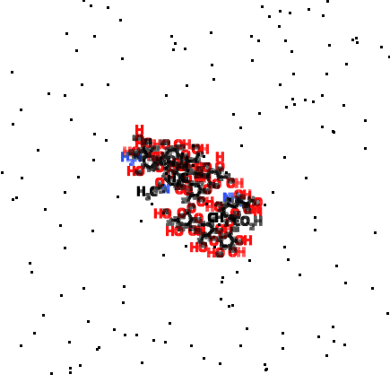 CC1=NC2C(O1)OC(CO)C(OC1OC(COC3OC(CO)C(O)C(O)C3OC3OC(CO)C(OC4OC(COC5(C(=O)O)CC(O)C(N)C([C@H](O)[C@H](O)CO)O5)C(O)C(O)C4O)C(O)C3C)C(O)C(OC3OC(CO)C(O)C(O)C3OC3OC(CO)C(OC4OC(COC5(C(=O)O)CC(O)C(N)C(CO)([C@H](O)CO)O5)C(O)C(O)C4O)C(O)C3C)C1O)C2O